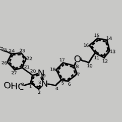 O=Cc1cn(Cc2ccc(OCc3ccccc3)cc2)nc1-c1ccc(F)cc1